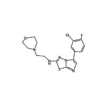 Fc1ccc(-c2cnc3sc(NCCN4CCOCC4)nn23)cc1Cl